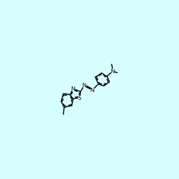 Cc1ccc2nc(N=Nc3ccc(N(C)C)cc3)sc2c1